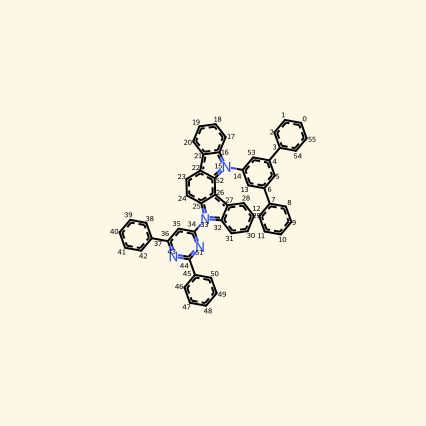 c1ccc(-c2cc(-c3ccccc3)cc(-n3c4ccccc4c4ccc5c(c6ccccc6n5-c5cc(-c6ccccc6)nc(-c6ccccc6)n5)c43)c2)cc1